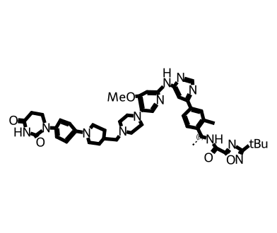 COc1cc(Nc2cc(-c3ccc([C@@H](C)NC(=O)c4nc(C(C)(C)C)no4)c(C)c3)ncn2)ncc1N1CCN(CC2CCN(c3ccc(N4CCC(=O)NC4=O)cc3)CC2)CC1